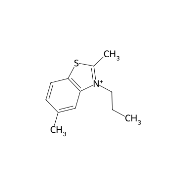 CCC[n+]1c(C)sc2ccc(C)cc21